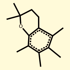 Cc1c(C)c(C)c2c(c1C)CCC(C)(C)O2